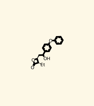 CC[C@@H]1C(=O)O[C@H]1CC(O)c1ccc(Oc2ccccc2)cc1